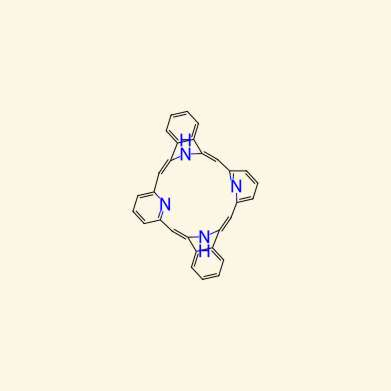 c1cc2cc3[nH]c(cc4cccc(cc5[nH]c(cc(c1)n2)c1ccccc51)n4)c1ccccc31